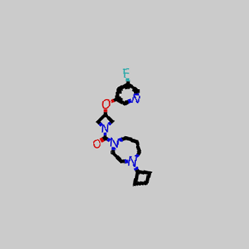 O=C(N1CCCN(C2CCC2)CC1)N1CC(Oc2cncc(F)c2)C1